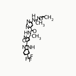 C=CO/N=C(\C)Nc1cc(C(=O)N[C@H](C)c2cc(-c3nc4ccc(C(F)(F)F)cc4[nH]3)on2)ncn1